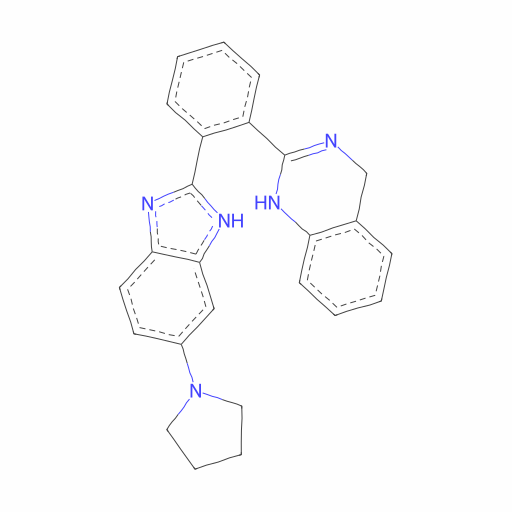 c1ccc2c(c1)CN=C(c1ccccc1-c1nc3ccc(N4CCCC4)cc3[nH]1)N2